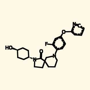 O=C1N([C@H]2CC[C@H](O)CC2)CCC12CCCN(c1ccc(Oc3ccccn3)cc1F)C2